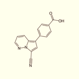 N#Cc1cc(-c2ccc(C(=O)O)cc2)c2cccnn12